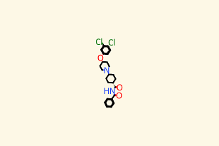 O=C(NC(=O)[C@H]1CC[C@H](N2CCC(Oc3ccc(Cl)c(Cl)c3)CC2)CC1)c1ccccc1